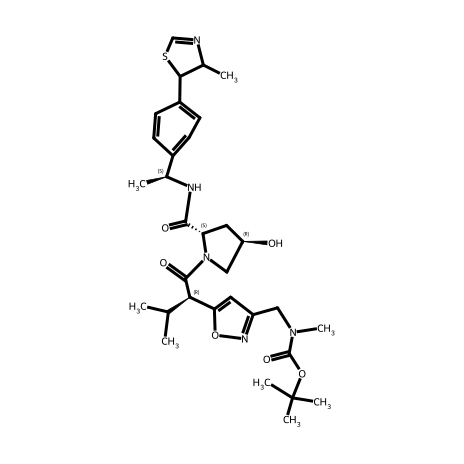 CC1N=CSC1c1ccc([C@H](C)NC(=O)[C@@H]2C[C@@H](O)CN2C(=O)[C@@H](c2cc(CN(C)C(=O)OC(C)(C)C)no2)C(C)C)cc1